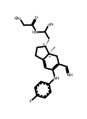 CCCC(C[C@H]1CCC2=CC(Nc3ccc(F)cc3)=C(C=N)C[C@@]21C)NC(=O)CC(C)(C)C